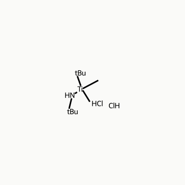 CC(C)(C)[NH][Ti]([CH3])([CH3])[C](C)(C)C.Cl.Cl